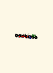 Cc1cc(-c2ccc(-c3ccccc3Br)cc2)ncc1-c1ccc(-c2ccc(-c3ccc(-c4ccccc4)cc3)cc2)cc1